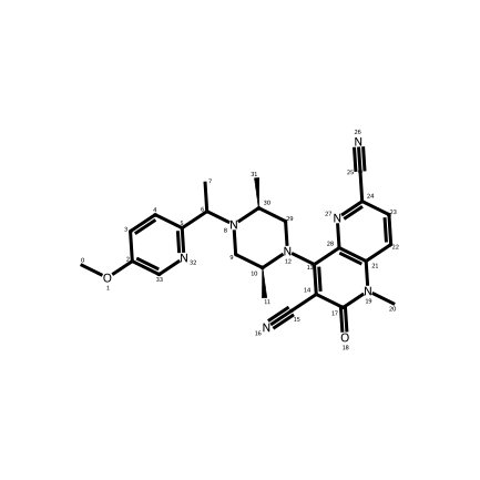 COc1ccc(C(C)N2C[C@H](C)N(c3c(C#N)c(=O)n(C)c4ccc(C#N)nc34)C[C@@H]2C)nc1